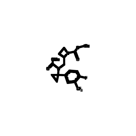 COC(=O)N(CC1CCN1C(=O)OC(C)(C)C)C1(c2ccc(F)c(C(F)(F)F)c2)CC1